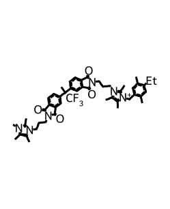 CCc1cc(C)c(C[n+]2c(C)c(C)n(CCCN3C(=O)c4ccc(C(C)(c5ccc6c(c5)C(=O)N(CCCn5c(C)c(C)[n+](C)c5C)C6=O)C(F)(F)F)cc4C3=O)c2C)cc1C